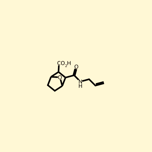 C=CCNC(=O)C1C2CCC(O2)C1C(=O)O